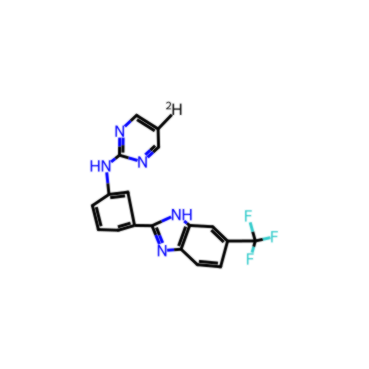 [2H]c1cnc(Nc2cccc(-c3nc4ccc(C(F)(F)F)cc4[nH]3)c2)nc1